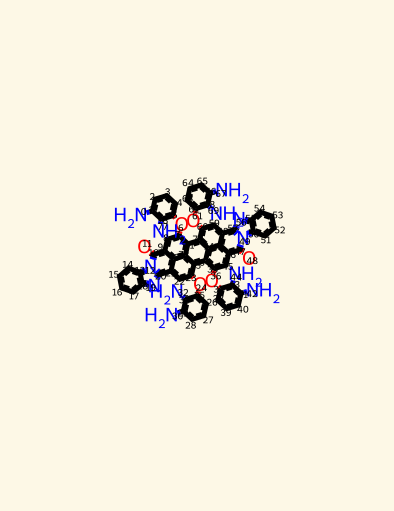 Nc1cccc(Oc2cc3c(=O)n4c5ccccc5nc4c4cc(Oc5cccc(N)c5N)c5c6c(Oc7cccc(N)c7N)cc7c(=O)n8c9ccccc9nc8c8cc(Oc9cccc(N)c9N)c(c2c5c34)c6c78)c1N